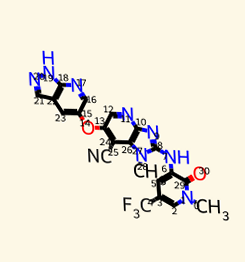 Cn1cc(C(F)(F)F)cc(Nc2nc3ncc(Oc4cnc5[nH]ncc5c4)c(C#N)c3n2C)c1=O